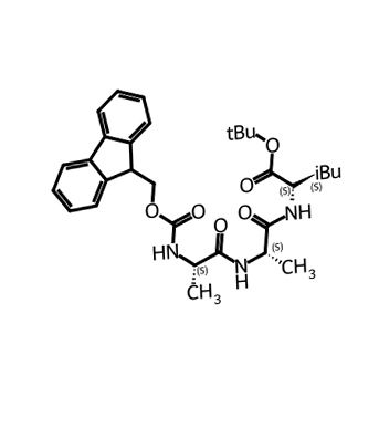 CC[C@H](C)[C@H](NC(=O)[C@H](C)NC(=O)[C@H](C)NC(=O)OCC1c2ccccc2-c2ccccc21)C(=O)OC(C)(C)C